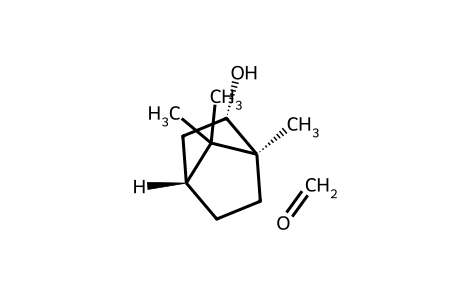 C=O.CC1(C)[C@@H]2CC[C@]1(C)[C@@H](O)C2